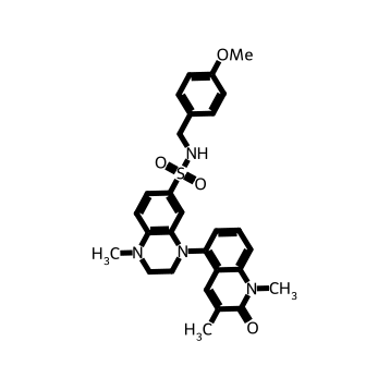 COc1ccc(CNS(=O)(=O)c2ccc3c(c2)N(c2cccc4c2cc(C)c(=O)n4C)CCN3C)cc1